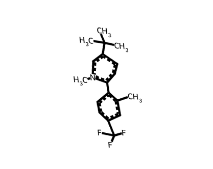 Cc1cc(C(F)(F)F)ccc1-c1ccc(C(C)(C)C)c[n+]1C